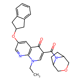 CCn1cc(C(=O)N2C3CCC2COC3)c(=O)c2cc(OC3Cc4ccccc4C3)cnc21